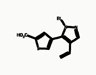 C=Cc1cnn(CC)c1-c1csc(C(=O)O)c1